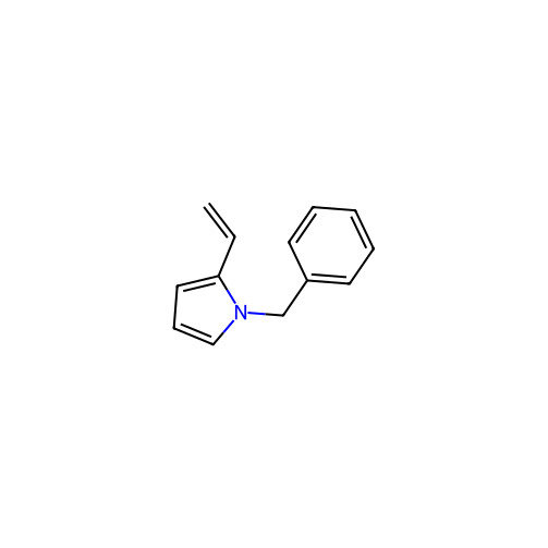 C=Cc1cccn1Cc1ccccc1